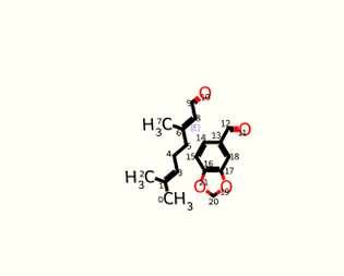 CC(C)=CCC/C(C)=C/C=O.O=Cc1ccc2c(c1)OCO2